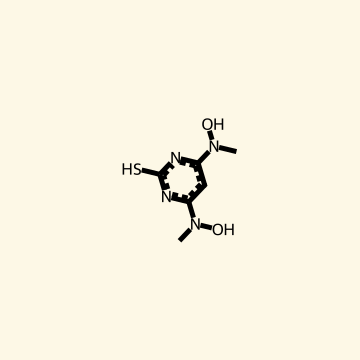 CN(O)c1cc(N(C)O)nc(S)n1